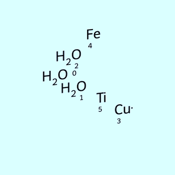 O.O.O.[Cu].[Fe].[Ti]